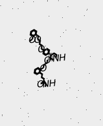 CNC(=O)CCCc1ccccc1OCCO[C@H]1CNCC[C@@H]1c1ccc(OCCCOCc2ccccc2OC)cc1